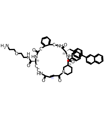 NCCOCCNC(=O)[C@@H]1CCNC(=O)/C=C/C(=O)N2CCC[C@](Cc3ccccc3)(C2)C(=O)N[C@@H](Cc2ccc(-c3ccc4ccccc4c3)cc2)C(=O)NCc2ccccc2CC(=O)N1